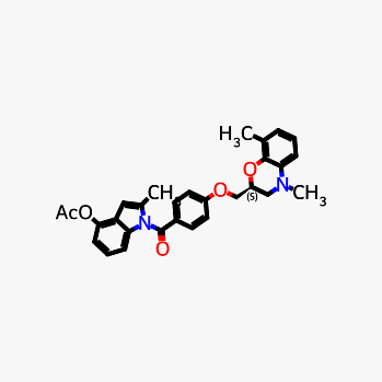 CC(=O)Oc1cccc2c1cc(C)n2C(=O)c1ccc(OC[C@@H]2CN(C)c3cccc(C)c3O2)cc1